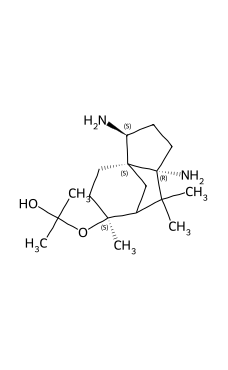 CC(C)(O)O[C@@]1(C)CC[C@@]23CC1C(C)(C)[C@]2(N)CC[C@@H]3N